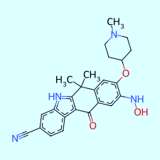 CN1CCC(Oc2cc3c(cc2NO)C(=O)c2c([nH]c4cc(C#N)ccc24)C3(C)C)CC1